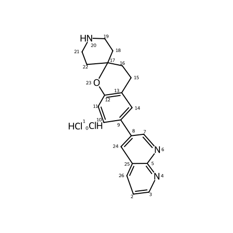 Cl.Cl.c1cnc2ncc(-c3ccc4c(c3)CCC3(CCNCC3)O4)cc2c1